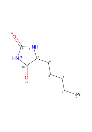 CC(C)CCCCC1NC(=O)NC1=O